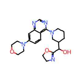 OC(C1=NCCO1)C1CCCN(c2ncnc3cc(N4CCOCC4)ccc23)C1